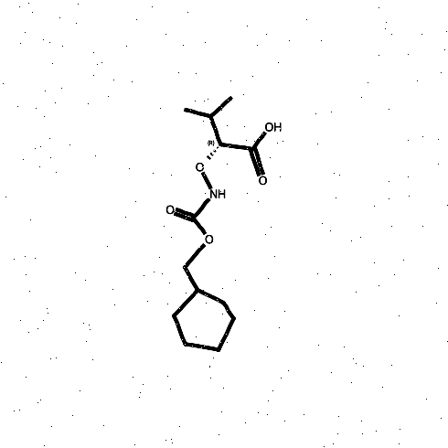 CC(C)[C@@H](ONC(=O)OCC1CCCCC1)C(=O)O